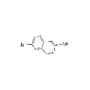 [NH]c1ccc2cc(Br)ccc2c1